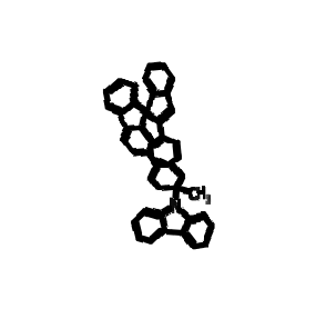 CC1(n2c3ccccc3c3ccccc32)C=CC(c2ccc3c(c2)C2(C(c4ccccc4)=Cc4ccccc42)c2ccccc2-3)=CC1